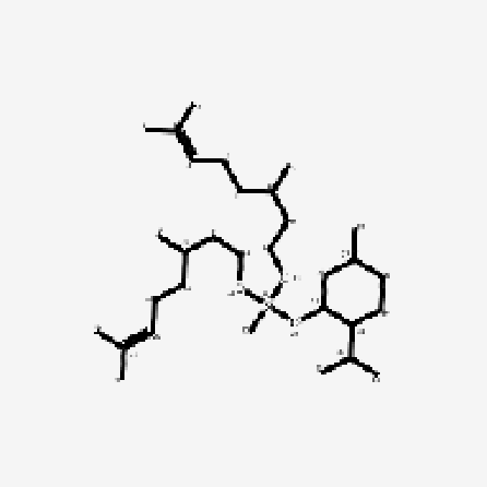 CC(C)=CCCC(C)CCO[Si](C)(OCCC(C)CCC=C(C)C)OC1CC(C)CCC1C(C)C